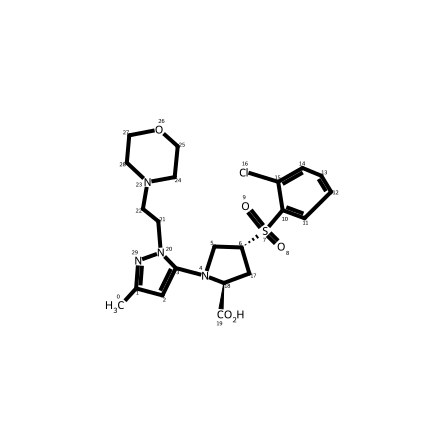 Cc1cc(N2C[C@H](S(=O)(=O)c3ccccc3Cl)C[C@H]2C(=O)O)n(CCN2CCOCC2)n1